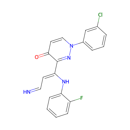 N=C/C=C(\Nc1ccccc1F)c1nn(-c2cccc(Cl)c2)ccc1=O